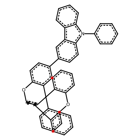 c1ccc(-c2cccc3c2C2(c4ccccc4Oc4ccccc42)c2cc(-c4ccc5c(c4)c4ccccc4n5-c4ccccc4)ccc2O3)cc1